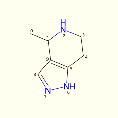 CC1NCCc2[nH]ncc21